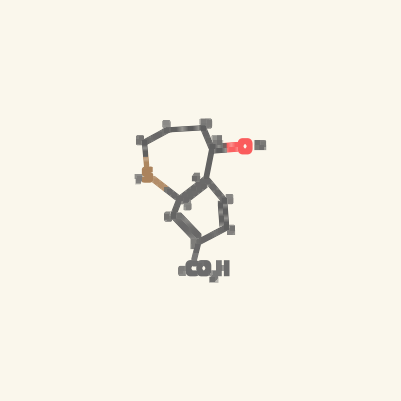 O=C(O)c1ccc2c(c1)SCCCC2=O